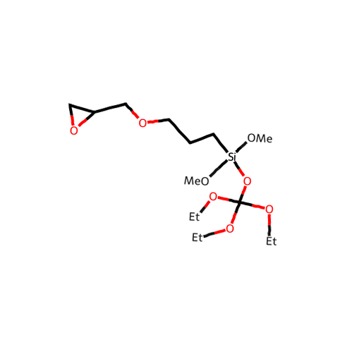 CCOC(OCC)(OCC)O[Si](CCCOCC1CO1)(OC)OC